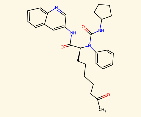 CC(=O)CCCCC[C@@H](C(=O)Nc1cnc2ccccc2c1)N(C(=O)NC1CCCC1)c1ccccc1